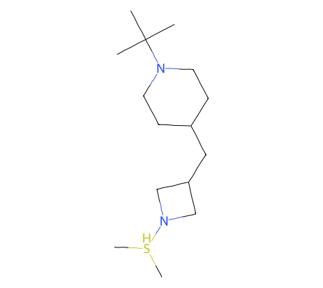 C[SH](C)N1CC(CC2CCN(C(C)(C)C)CC2)C1